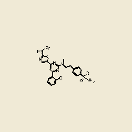 CC(C)Nc1ncc(-c2cc(-c3ccccc3Cl)nc(NCCc3ccc(S(N)(=O)=O)cc3)n2)s1